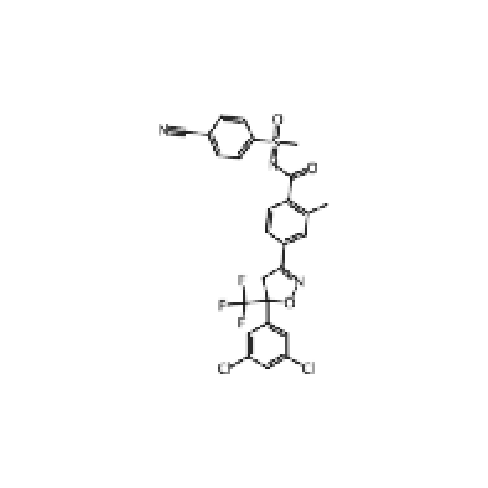 Cc1cc(C2=NOC(c3cc(Cl)cc(Cl)c3)(C(F)(F)F)C2)ccc1C(=O)N=S(C)(=O)c1ccc(C#N)cc1